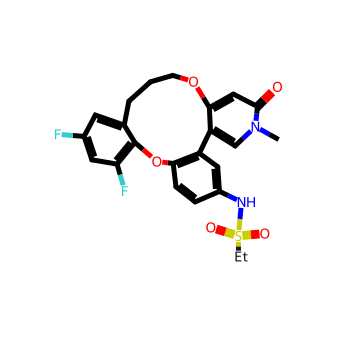 CCS(=O)(=O)Nc1ccc2c(c1)-c1cn(C)c(=O)cc1OCCCc1cc(F)cc(F)c1O2